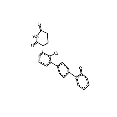 O=C1CC[C@H](c2cccc(-c3ccc(-n4ccccc4=O)cc3)c2Cl)C(=O)N1